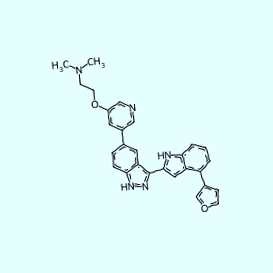 CN(C)CCOc1cncc(-c2ccc3[nH]nc(-c4cc5c(-c6ccoc6)cccc5[nH]4)c3c2)c1